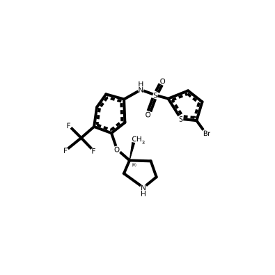 C[C@@]1(Oc2cc(NS(=O)(=O)c3ccc(Br)s3)ccc2C(F)(F)F)CCNC1